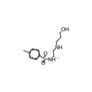 Cc1ccc(S(=O)(=O)N[C@@H](C)CNCCCO)cc1